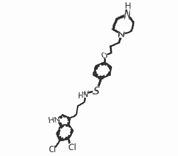 Clc1cc2[nH]cc(CCCNSc3ccc(OCCCN4CCNCC4)cc3)c2cc1Cl